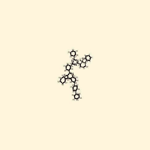 CC12Sc3ccccc3C1C=CC=C2c1nc(-c2ccccc2)nc(-c2cccc(-c3nc4ccc(-c5ccc(-c6ccccc6)cc5)cc4c4c3sc3ccccc34)c2)n1